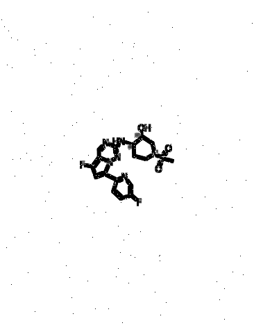 CS(=O)(=O)N1CC[C@@H](Nc2ncc3c(F)cc(-c4ccc(F)cn4)n3n2)[C@H](O)C1